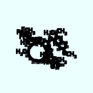 COc1ccc2nc(C(C)C)c(O[C@@H]3C[C@H]4C(=O)N[C@]5(C(=O)NS(=O)(=O)C6(C)CC6)CC5/C=C\CC[C@@H](C)C[C@@H](C)[C@H](NC(=O)OC(C)(C)C(F)(F)F)C(=O)N4C3)nc2c1